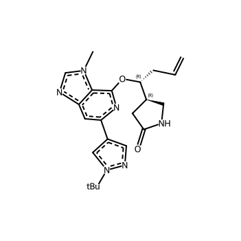 C=CC[C@@H](Oc1nc(-c2cnn(C(C)(C)C)c2)cc2ncn(C)c12)[C@H]1CNC(=O)C1